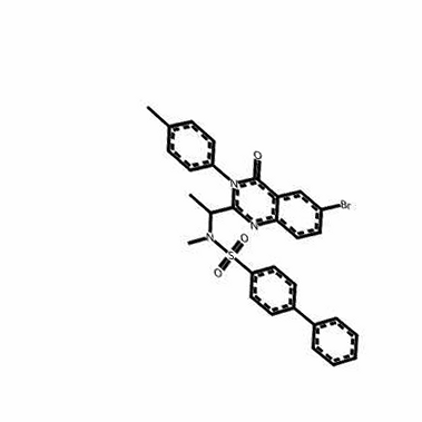 Cc1ccc(-n2c(C(C)N(C)S(=O)(=O)c3ccc(-c4ccccc4)cc3)nc3ccc(Br)cc3c2=O)cc1